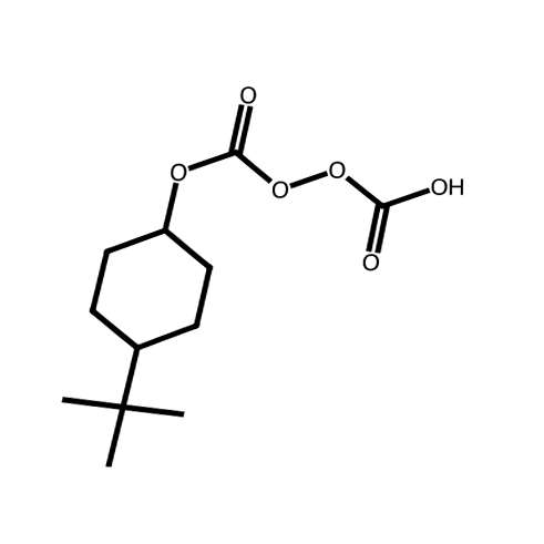 CC(C)(C)C1CCC(OC(=O)OOC(=O)O)CC1